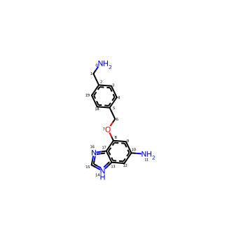 NCc1ccc(COc2cc(N)cc3[nH]cnc23)cc1